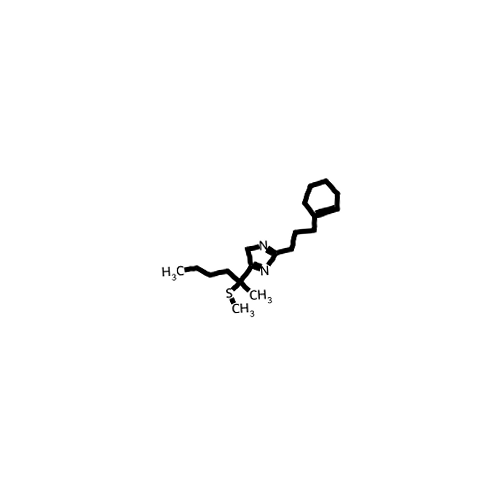 CCCCC(C)(SC)C1=NC(CCCC2=CCCCC2)=NC1